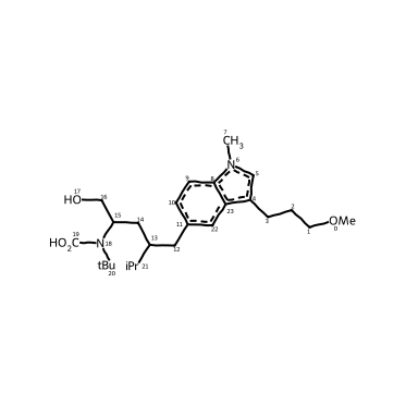 COCCCc1cn(C)c2ccc(CC(CC(CO)N(C(=O)O)C(C)(C)C)C(C)C)cc12